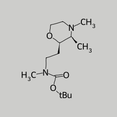 C[C@H]1[C@@H](CCN(C)C(=O)OC(C)(C)C)OCCN1C